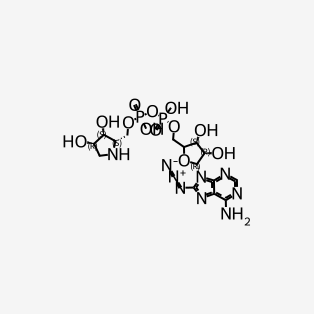 [N-]=[N+]=Nc1nc2c(N)ncnc2n1[C@@H]1OC(COP(=O)(O)OP(=O)(O)OC[C@@H]2NC[C@@H](O)[C@H]2O)[C@@H](O)[C@H]1O